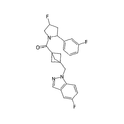 O=C(N1CC(F)CC1c1cccc(F)c1)C12CC(Cn3ncc4cc(F)ccc43)(C1)C2